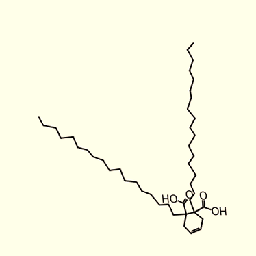 CCCCCCCCCCCCCCCCCCC1(C(=O)O)CC=CCC1(CCCCCCCCCCCCCCCCCC)C(=O)O